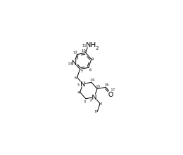 CCN1CCN(Cc2ccc(N)cn2)CC1C=O